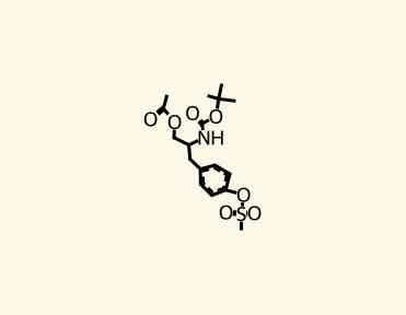 CC(=O)OCC(Cc1ccc(OS(C)(=O)=O)cc1)NC(=O)OC(C)(C)C